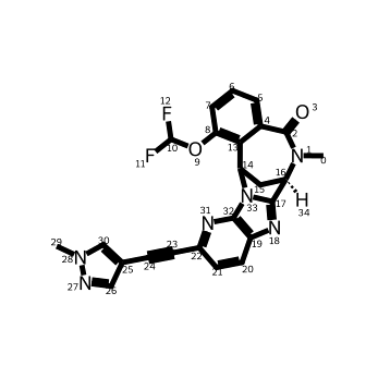 CN1C(=O)c2cccc(OC(F)F)c2C2C[C@@H]1c1nc3ccc(C#Cc4cnn(C)c4)nc3n12